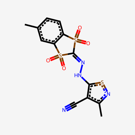 Cc1ccc2c(c1)S(=O)(=O)C(=NNc1snc(C)c1C#N)S2(=O)=O